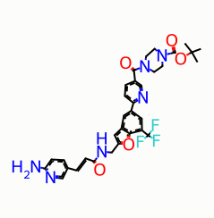 CC(C)(C)OC(=O)N1CCN(C(=O)c2ccc(-c3cc(C(F)(F)F)c4oc(CNC(=O)/C=C/c5ccc(N)nc5)cc4c3)nc2)CC1